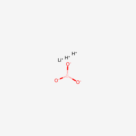 [H+].[H+].[Li+].[O-]B([O-])[O-]